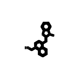 CN1/C(=C/c2cc[n+](CO)c3ccccc23)Sc2ccccc21